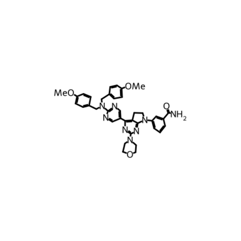 COc1ccc(CN(Cc2ccc(OC)cc2)c2ncc(-c3nc(N4CCOCC4)nc4c3CCN4c3cccc(C(N)=O)c3)cn2)cc1